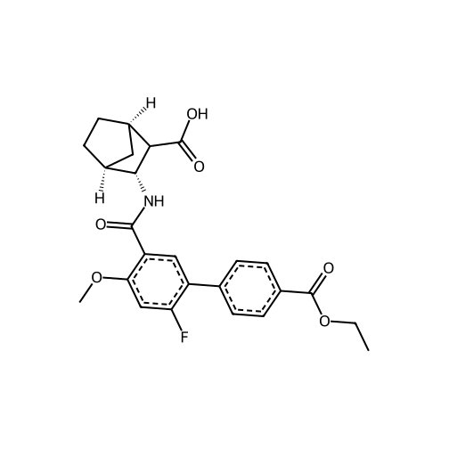 CCOC(=O)c1ccc(-c2cc(C(=O)N[C@H]3C(C(=O)O)[C@@H]4CC[C@H]3C4)c(OC)cc2F)cc1